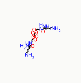 NCCCC[C@H](N)C(=O)NCCC(=O)OC(=O)C(=O)OC(=O)CCNC(=O)[C@@H](N)CCCCN